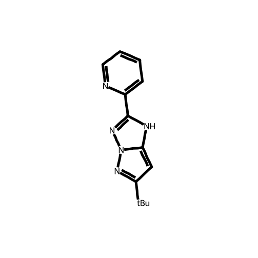 CC(C)(C)c1cc2[nH]c(-c3ccccn3)nn2n1